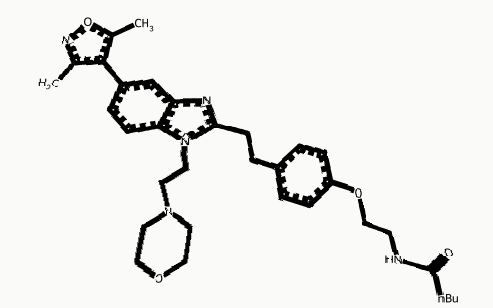 CCCCC(=O)NCCOc1ccc(CCc2nc3cc(-c4c(C)noc4C)ccc3n2CCN2CCOCC2)cc1